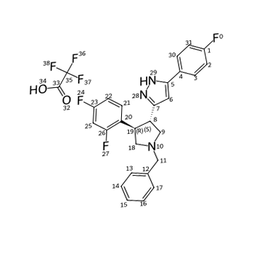 Fc1ccc(-c2cc([C@@H]3CN(Cc4ccccc4)C[C@H]3c3ccc(F)cc3F)n[nH]2)cc1.O=C(O)C(F)(F)F